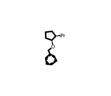 CC(C)[C@@H]1CCC[C@@H]1OCc1ccccc1